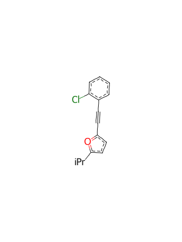 CC(C)c1ccc(C#Cc2ccccc2Cl)o1